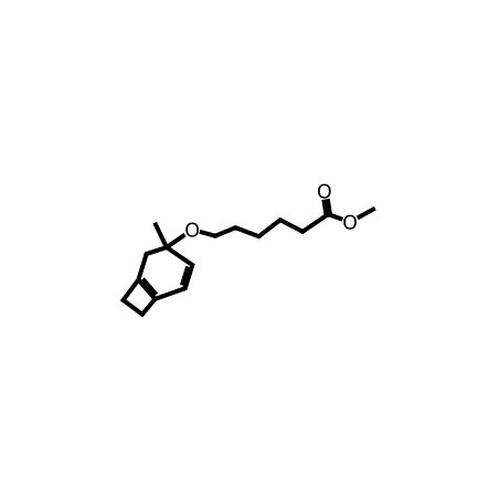 COC(=O)CCCCCOC1(C)C=CC2=C(CC2)C1